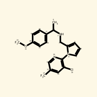 CC(NCc1cccn1-c1ncc(C(F)(F)F)cc1Cl)c1ccc(OC(F)(F)F)cc1